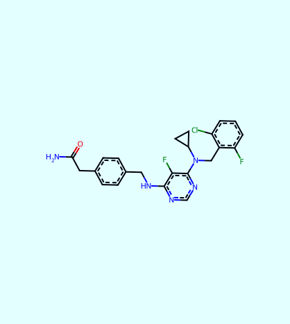 NC(=O)Cc1ccc(CNc2ncnc(N(Cc3c(F)cccc3Cl)C3CC3)c2F)cc1